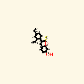 CCc1ccc(-c2cc3ccc(O)cc3oc2=S)c(CC)c1